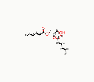 C/C=C/C=C/C(=O)OC[C@H](CO)OC(=O)/C=C/C=C/C